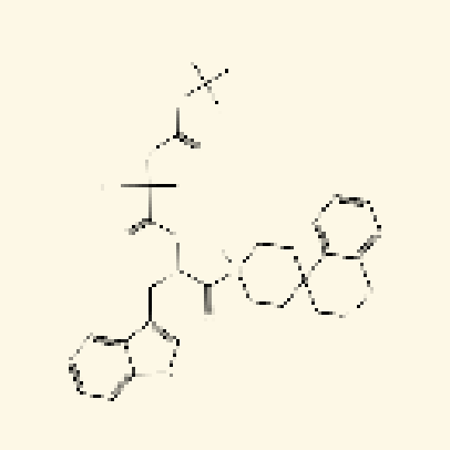 CC(C)(C)OC(=O)NC(C)(C)C(=O)N[C@H](Cc1c[nH]c2ccccc12)C(=O)[N+]1([O-])CCC2(CC1)CNCc1ccccc12